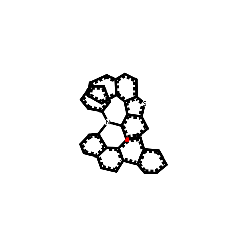 c1ccc(N(c2cccc3ccc4c5ccccc5ccc4c23)c2cccc3sc4ccc5ccccc5c4c23)cc1